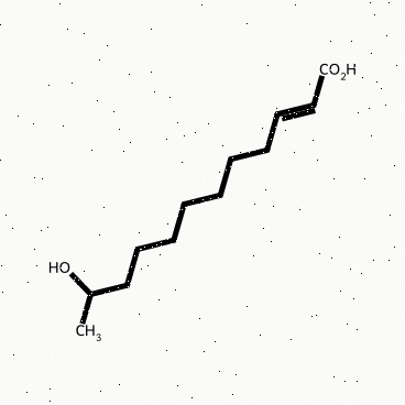 CC(O)CCCCCCCC=CC(=O)O